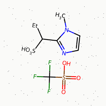 CCC(c1nccn1C)S(=O)(=O)O.O=S(=O)(O)C(F)(F)F